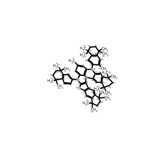 Cc1cc2c3c(c1)N(c1ccc4c(c1)C(C)(C)CCC4(C)C)c1oc4cc5c(cc4c1B3c1cc3c(cc1N2c1cc2c(cc1C)C(C)(C)CCC2(C)C)C(C)(C)CCC3(C)C)C(C)(C)CCC5(C)C